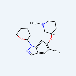 Cc1cc2cnn(C3CCCCO3)c2cc1O[C@@H]1CCCN(C(=O)O)C1